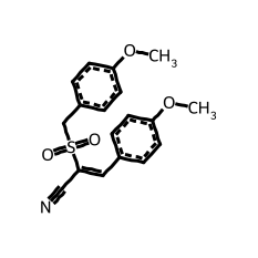 COc1ccc(/C=C(/C#N)S(=O)(=O)Cc2ccc(OC)cc2)cc1